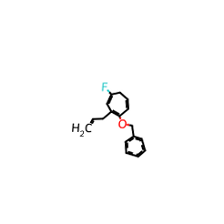 C=CCC1=C(OCc2ccccc2)C=CCC(F)=C1